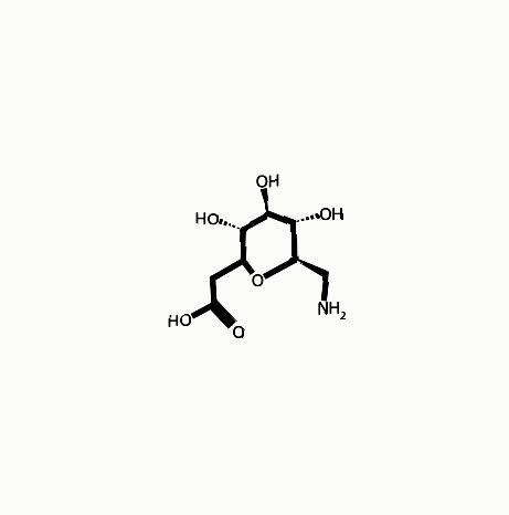 NC[C@H]1OC(CC(=O)O)[C@H](O)[C@@H](O)[C@@H]1O